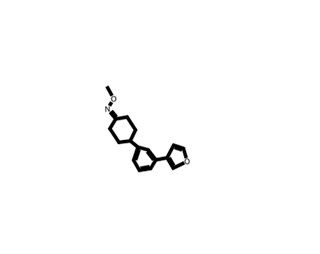 CON=C1CCC(c2cccc(-c3ccoc3)c2)CC1